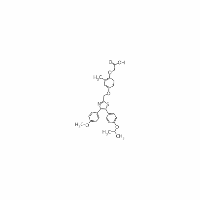 COc1ccc(-c2nc(COc3ccc(OCC(=O)O)c(C)c3)sc2-c2ccc(OC(C)C)cc2)cc1